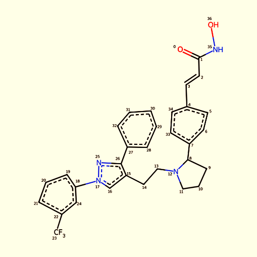 O=C(/C=C/c1ccc(C2CCCN2CCc2cn(-c3cccc(C(F)(F)F)c3)nc2-c2ccccc2)cc1)NO